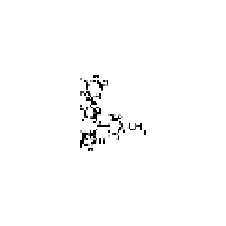 Cc1ccc(C(c2ccc(-c3ccccc3)o2)n2ccnc2)cc1